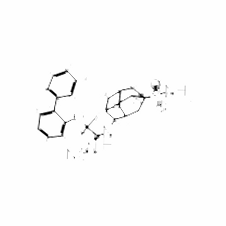 CC(C)(Oc1ccccc1-c1ccccc1)/C(=N\C#N)NC1C2CC3CC1CC(S(N)(=O)=O)(C3)C2